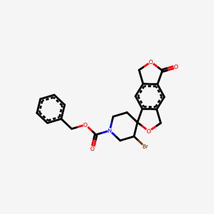 O=C1OCc2cc3c(cc21)COC31CCN(C(=O)OCc2ccccc2)CC1Br